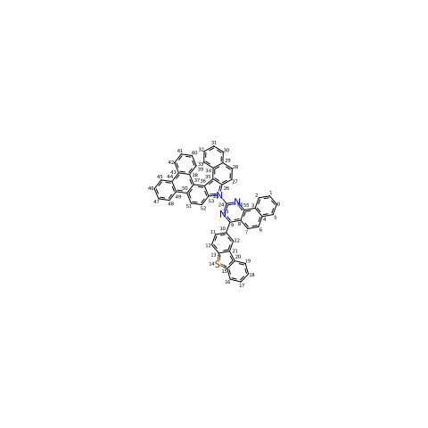 c1ccc2c(c1)ccc1c(-c3ccc4sc5ccccc5c4c3)nc(-n3c4ccc5ccccc5c4c4c5c6ccccc6c6ccccc6c5ccc43)nc12